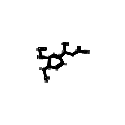 O=CNc1cc(C(O)CNO)ccc1OO